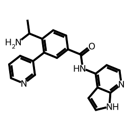 CC(N)c1ccc(C(=O)Nc2ccnc3[nH]ccc23)cc1-c1cccnc1